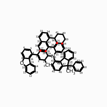 CC1C=C(c2cccc3oc4ccccc4c23)C=CC1N(c1ccccc1-c1cccc2cccc(C3CCCCC3)c12)c1cccc2c1-c1ccccc1C2(C)c1ccccc1